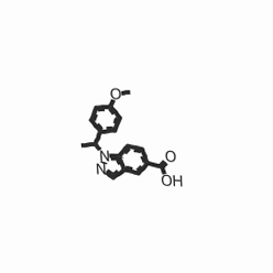 COc1ccc(C(C)n2ncc3cc(C(=O)O)ccc32)cc1